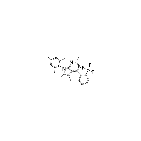 Cc1cc(C)c(-n2c(C)c(C)c3c(-c4ccccc4C(F)(F)F)nc(C)nc32)c(C)c1